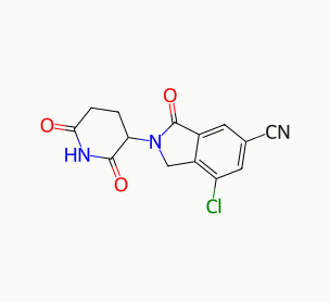 N#Cc1cc(Cl)c2c(c1)C(=O)N(C1CCC(=O)NC1=O)C2